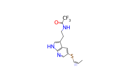 C/C=C\Sc1cnc2[nH]cc(CCNC(=O)C(F)(F)F)c2c1